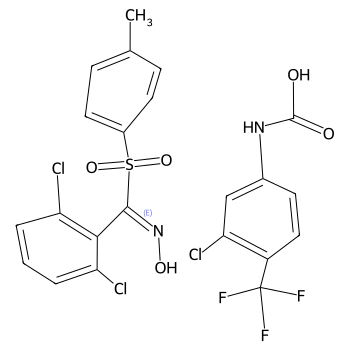 Cc1ccc(S(=O)(=O)/C(=N/O)c2c(Cl)cccc2Cl)cc1.O=C(O)Nc1ccc(C(F)(F)F)c(Cl)c1